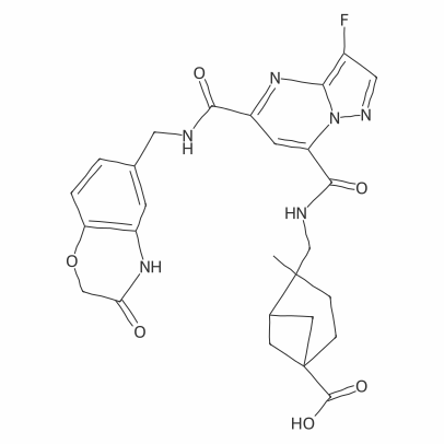 CC1(CNC(=O)c2cc(C(=O)NCc3ccc4c(c3)NC(=O)CO4)nc3c(F)cnn23)CCC2(C(=O)O)CC1C2